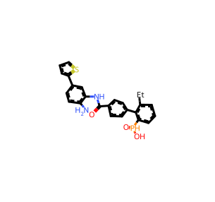 CCc1cccc([PH](=O)O)c1-c1ccc(C(=O)Nc2cc(-c3cccs3)ccc2N)cc1